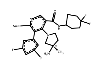 COc1ncc(C(=O)NC2CCC(F)(F)CC2)c(N2CC[C@](C)(N)C2)c1-c1cc(F)cc(F)c1